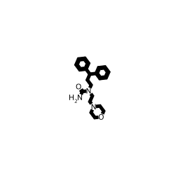 NC(=O)N(CCC(c1ccccc1)c1ccccc1)CCN1CCOCC1